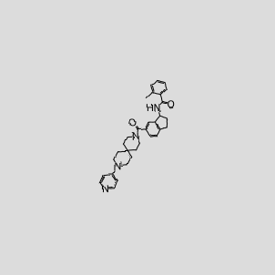 Cc1ccccc1C(=O)NC1CCc2ccc(C(=O)N3CCC4(CC3)CCN(c3ccncc3)CC4)cc21